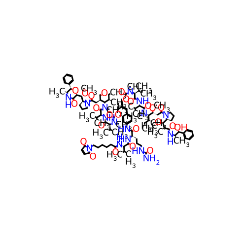 CC[C@H](C)[C@@H]([C@H](C=O)CC(=O)N1CCC[C@H]1[C@H](OC)[C@H]1O[C@@H](c2ccccc2)[C@@H](C)NC1=O)N(C)C(=O)[C@@H](NC(=O)[C@H](C(C)C)N(C)C(=O)OC/C(=C\c1ccc(NC(=O)[C@H](CCCNC(N)=O)NC(=O)[C@@H](NC(=O)CCCCCN2C(=O)C=CC2=O)C(C)C)cc1)COC(=O)N(C)[C@H](C(=O)N[C@H](C(=O)N(C)[C@@H]([C@@H](C)CC)[C@@H](CC(=O)N1CCC[C@H]1[C@H](OC)[C@@H](C)C(=O)N[C@H](C)[C@@H](O)c1ccccc1)OC)C(C)C)C(C)C)C(C)C